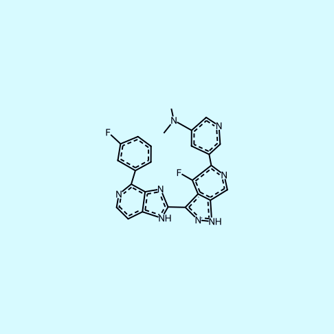 CN(C)c1cncc(-c2ncc3[nH]nc(-c4nc5c(-c6cccc(F)c6)nccc5[nH]4)c3c2F)c1